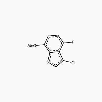 COc1ccc(F)c2c(Cl)csc12